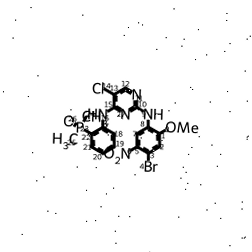 COc1cc(Br)c([N+](=O)[O-])cc1Nc1ncc(Cl)c(Nc2ccccc2P(C)(C)=O)n1